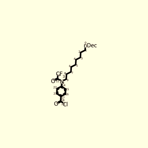 CCCCCCCCCCCCCCCCCCCN(C(=O)C(F)(F)F)c1ccc(C(=O)Cl)cc1